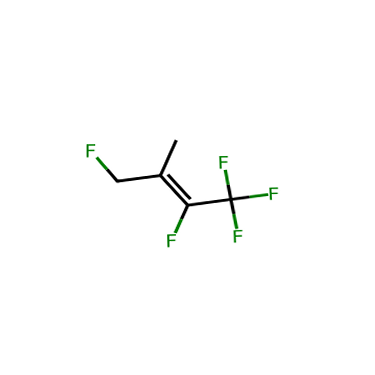 C/C(CF)=C(/F)C(F)(F)F